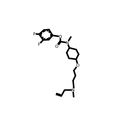 C=CCN(C)CCCCOC1CCC(N(C)C(=O)Oc2ccc(F)c(F)c2)CC1